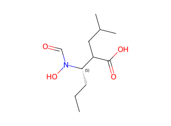 CCC[C@@H](C(CC(C)C)C(=O)O)N(O)C=O